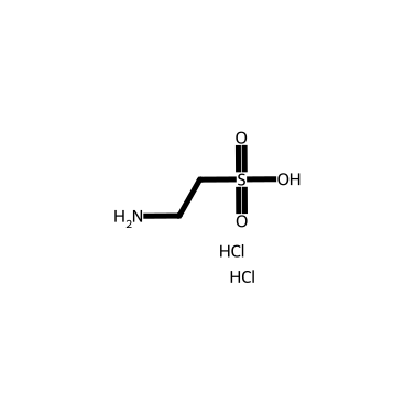 Cl.Cl.NCCS(=O)(=O)O